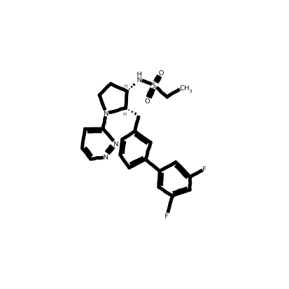 CCS(=O)(=O)N[C@H]1CCN(c2cccnn2)[C@H]1Cc1cccc(-c2cc(F)cc(F)c2)c1